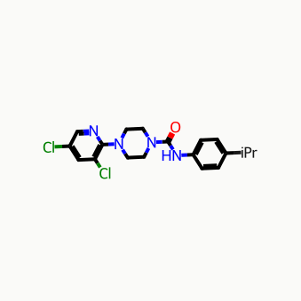 CC(C)c1ccc(NC(=O)N2CCN(c3ncc(Cl)cc3Cl)CC2)cc1